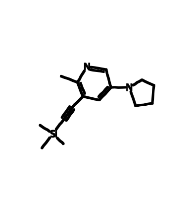 Cc1ncc(N2CCCC2)cc1C#C[Si](C)(C)C